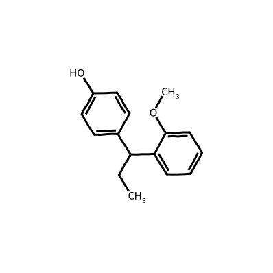 CC[C](c1ccc(O)cc1)c1ccccc1OC